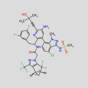 Cn1nc(NS(C)(=O)=O)c2c(Cl)ccc(-c3cc(N)c(C#CC(C)(C)O)nc3C(Cc3cc(F)cc(F)c3)NC(=O)Cn3nc(C(F)(F)F)c4c3C(F)(F)[C@@H]3C[C@H]43)c21